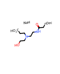 CCCCCCCCCCCC(=O)NCCN(CCO)CCC(=O)O.[NaH]